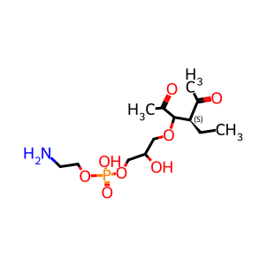 CC[C@H](C(C)=O)C(OCC(O)COP(=O)(O)OCCN)C(C)=O